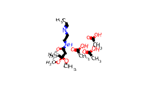 CC(=O)O.CC(=O)O.CC(=O)O.CC=NCCNC(CC([SiH3])(OC)OC)OC